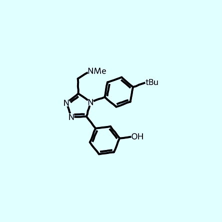 CNCc1nnc(-c2cccc(O)c2)n1-c1ccc(C(C)(C)C)cc1